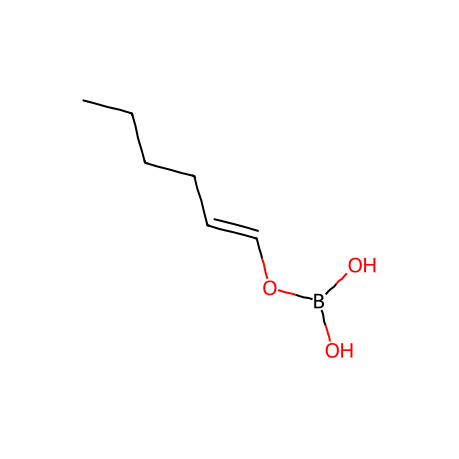 CCCCC=COB(O)O